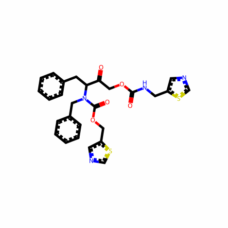 O=C(NCc1cncs1)OCC(=O)C(Cc1ccccc1)N(Cc1ccccc1)C(=O)OCc1cncs1